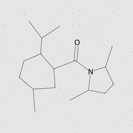 CC1CCC(C(C)C)C(C(=O)N2C(C)CCC2C)C1